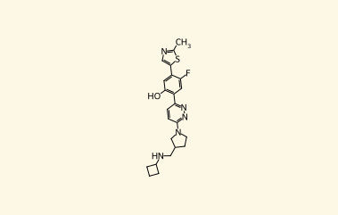 Cc1ncc(-c2cc(O)c(-c3ccc(N4CCC(CNC5CCC5)C4)nn3)cc2F)s1